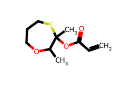 C=CC(=O)OC1(C)SCCCOC1C